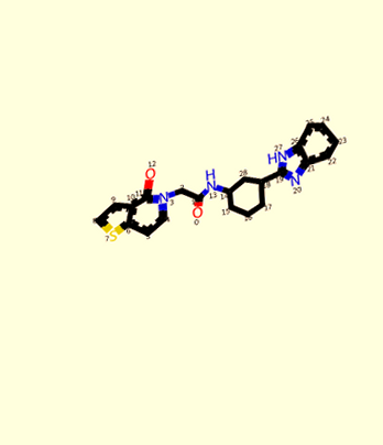 O=C(Cn1ccc2sccc2c1=O)NC1CCCC(c2nc3ccccc3[nH]2)C1